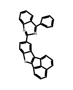 c1ccc(-c2nc(-c3ccc4sc5c(c4c3)-c3cccc4cccc-5c34)nc3ccccc23)cc1